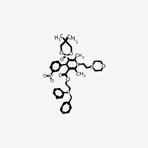 CC1=C(C(=O)OCCN(Cc2ccccc2)c2ccccc2)C(c2cccc([N+](=O)[O-])c2)C(P2(=O)OCC(C)(C)CO2)=C(C)N1CCN1CCOCC1